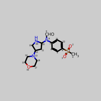 CS(=O)(=O)c1ccc(N(C=O)C2CC(N3CCOCC3)CN2)cc1